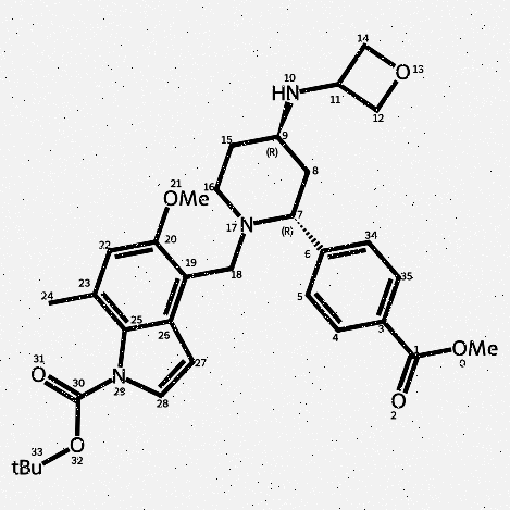 COC(=O)c1ccc([C@H]2C[C@H](NC3COC3)CCN2Cc2c(OC)cc(C)c3c2ccn3C(=O)OC(C)(C)C)cc1